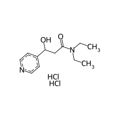 CCN(CC)C(=O)CC(O)c1ccncc1.Cl.Cl